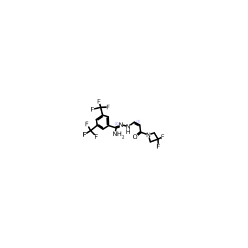 N/C(=N\N/C=C\C(=O)N1CC(F)(F)C1)c1cc(C(F)(F)F)cc(C(F)(F)F)c1